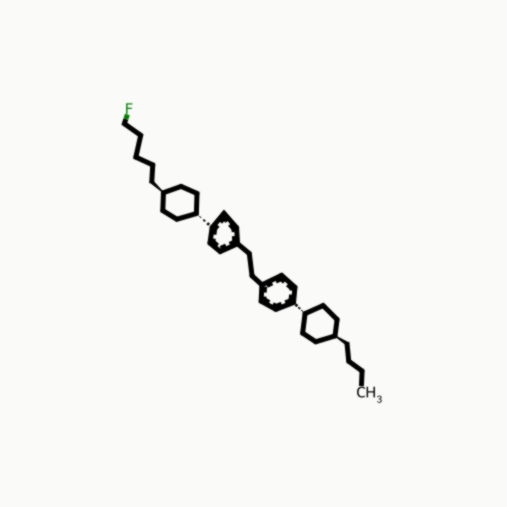 CCCC[C@H]1CC[C@H](c2ccc(CCc3ccc([C@H]4CC[C@H](CCCCCF)CC4)cc3)cc2)CC1